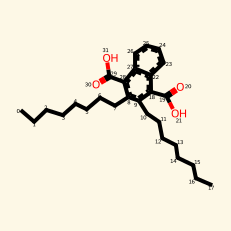 CCCCCCCCc1c(CCCCCCCC)c(C(=O)O)c2ccccc2c1C(=O)O